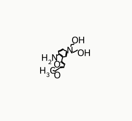 CC(=O)c1ccc(-c2cc(N(CCO)CCO)ccc2N)o1